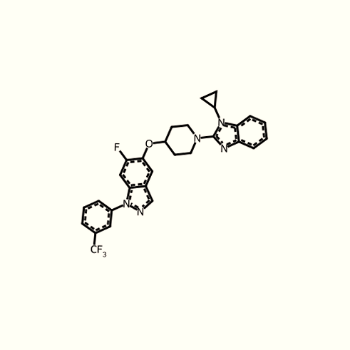 Fc1cc2c(cnn2-c2cccc(C(F)(F)F)c2)cc1OC1CCN(c2nc3ccccc3n2C2CC2)CC1